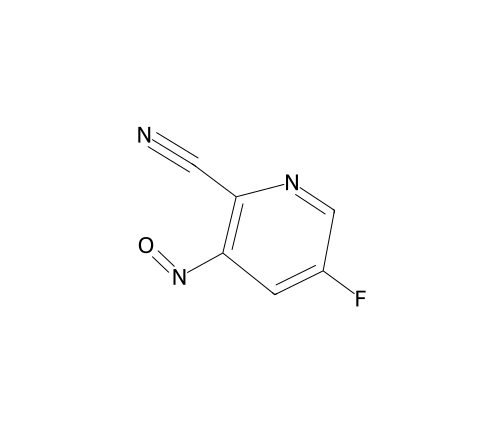 N#Cc1ncc(F)cc1N=O